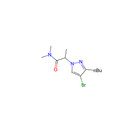 CCCCc1nn(C(C)C(=O)N(C)C)cc1Br